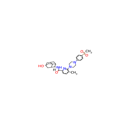 Cc1ccc(C(=O)N[C@H]2C3CC4CC2C[C@](O)(C4)C3)nc1N1CCN(c2ccc(S(C)(=O)=O)cc2)CC1